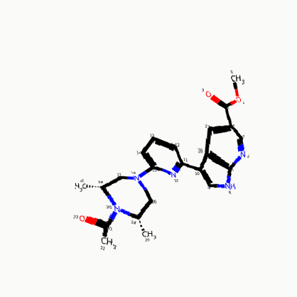 COC(=O)c1cnc2[nH]cc(-c3cccc(N4C[C@@H](C)N(C(C)=O)[C@@H](C)C4)n3)c2c1